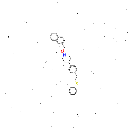 c1ccc(SCCc2ccc(C3CCN(OCc4ccc5ccccc5c4)CC3)cc2)cc1